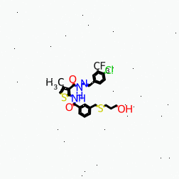 Cc1csc(NC(=O)c2cccc(CSCCCO)c2)c1C(=O)NN=Cc1ccc(Cl)c(C(F)(F)F)c1